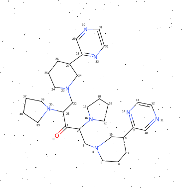 O=C(C(CN1CCCC(c2cnccn2)C1)N1CCCC1)C(CN1CCCC(c2cnccn2)C1)N1CCCC1